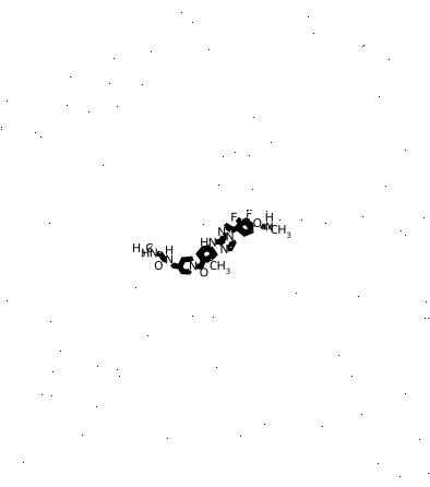 CNCOc1ccc(-c2cnc3c(Nc4ccc(C(=O)N5CCC(CNC(=O)CNC)CC5)c(C)c4)nccn23)c(F)c1F